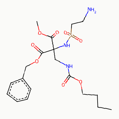 CCCCOC(=O)NCC(NS(=O)(=O)CCN)(C(=O)OC)C(=O)OCc1ccccc1